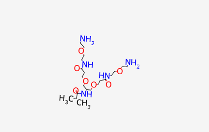 CC(C)C(=O)NC(COCCC(=O)NCCOCCN)COCCC(=O)NCCOCCN